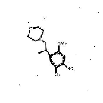 COc1cc([N+](=O)[O-])c(C#N)cc1C(C)CN1CCOCC1